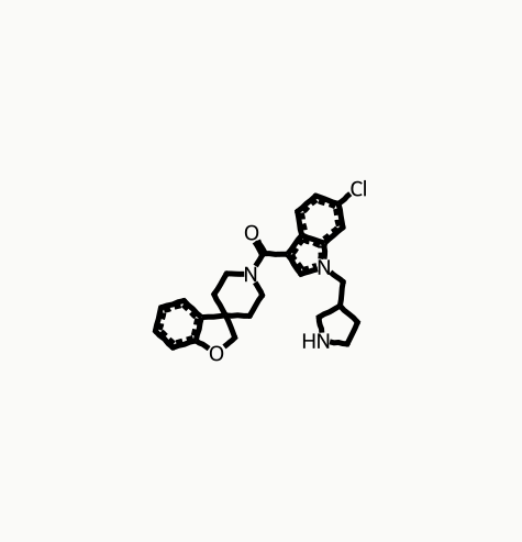 O=C(c1cn(CC2CCNC2)c2cc(Cl)ccc12)N1CCC2(CC1)COc1ccccc12